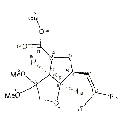 COC1(OC)CO[C@@H]2[C@H](C=C(F)F)CN(C(=O)OC(C)(C)C)[C@@H]21